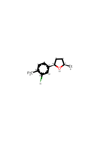 CC[C@@H]1CC[C@H](c2ccc(C(F)(F)F)c(F)c2)O1